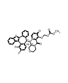 COC(=O)OCOc1c2n(ccc1=O)N([C@@H]1c3ccccc3-c3sc4ccccc4c3-c3c1ccc(F)c3F)[C@@H]1COCCN1C2=O